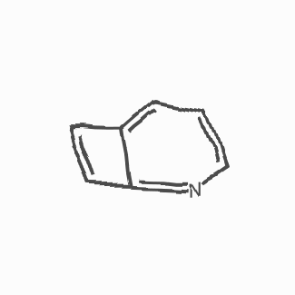 C1=Cc2ncccc21